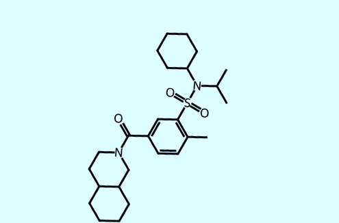 Cc1ccc(C(=O)N2CCC3CCCCC3C2)cc1S(=O)(=O)N(C(C)C)C1CCCCC1